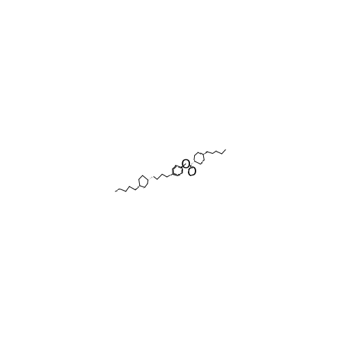 CCCCC[C@H]1CC[C@H](CCCCc2ccc(OC(=O)[C@H]3CC[C@H](CCCCC)CC3)cc2)CC1